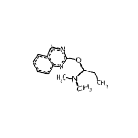 CCC(Oc1n[c]c2ccccc2n1)N(C)C